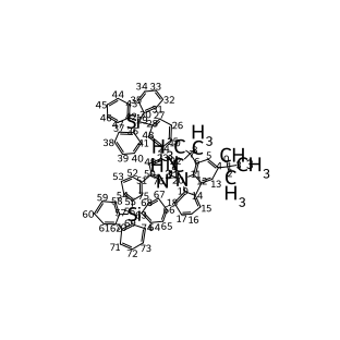 CC(C)(C)c1cc(C(C)(C)C)c2c(c1)c1ccccc1n2-c1nc(-c2cccc([Si](c3ccccc3)(c3ccccc3)c3ccccc3)c2)cc(-c2cccc([Si](c3ccccc3)(c3ccccc3)c3ccccc3)c2)n1